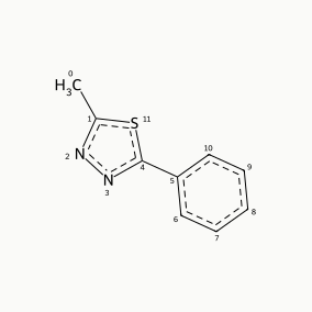 Cc1nnc(-c2ccccc2)s1